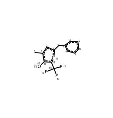 Cc1cc(Cc2ccccc2)cc(C(F)(F)F)c1O